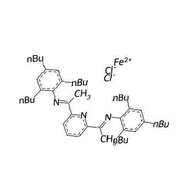 CCCCc1cc(CCCC)c(N=C(C)c2cccc(C(C)=Nc3c(CCCC)cc(CCCC)cc3CCCC)n2)c(CCCC)c1.[Cl-].[Cl-].[Fe+2]